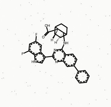 O=C(O)[C@@H]1C2CCC(CC2)[C@H]1Nc1nc(-c2c[nH]c3c(F)cc(F)cc23)nc2cc(-c3ccccc3)ccc12